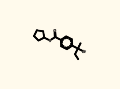 CCC(C)(Br)c1ccc(C(=O)SC2CCCC2)cc1